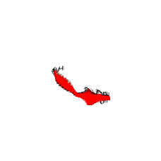 CCCCCC(O)C=CC(O)C(O)CCCCCCCC(=O)CCCCCCCC/C=C\CCCCCCCCCCCCCCCCCCCCCC(=O)O